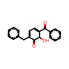 O=C(C1=CC=C(Cc2ccccc2)C(=O)C1O)c1ccccc1